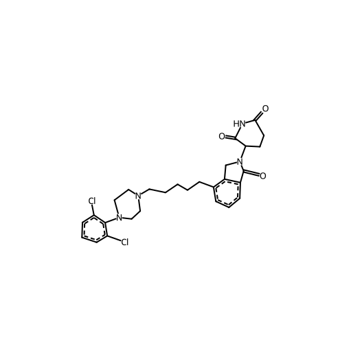 O=C1CCC(N2Cc3c(CCCCCN4CCN(c5c(Cl)cccc5Cl)CC4)cccc3C2=O)C(=O)N1